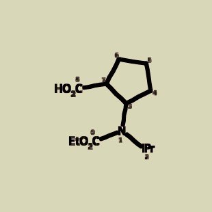 CCOC(=O)N(C(C)C)C1CCCC1C(=O)O